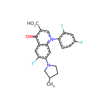 CC1CCN(c2cc3c(cc2F)c(=O)c(C(=O)O)cn3-c2ccc(F)cc2F)C1